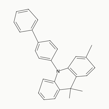 Cc1ccc2c(c1)N(c1ccc(-c3ccccc3)cc1)c1ccccc1C2(C)C